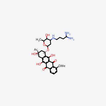 COc1cccc2c1C(=O)c1c(O)c3c(c(O)c1C2=O)C[C@@](O)(C(C)=O)C[C@@H]3OC1CC(NCCCC(N)N)C(O)C(C)O1